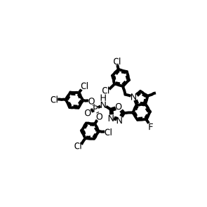 Cc1cn(Cc2ccc(Cl)cc2Cl)c2c(-c3nnc(NP(=O)(Oc4ccc(Cl)cc4Cl)Oc4ccc(Cl)cc4Cl)o3)cc(F)cc12